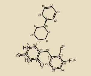 O=c1[nH]c(=S)[nH]c([C@H]2CC[C@H](C3C=CC=CC3)CC2)c1Cc1cccc(F)c1F